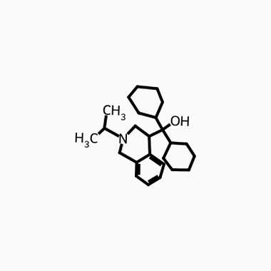 CC(C)N1Cc2ccccc2C(C(O)(C2CCCCC2)C2CCCCC2)C1